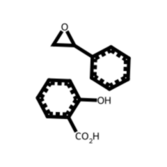 O=C(O)c1ccccc1O.c1ccc(C2CO2)cc1